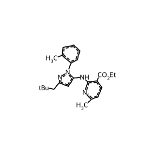 CCOC(=O)c1ccc(C)nc1Nc1cc(CC(C)(C)C)nn1-c1ccccc1C